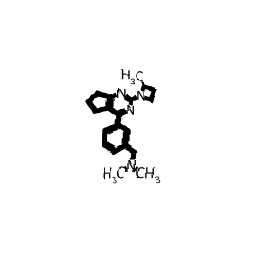 C[C@H]1CCN1c1nc2c(c(-c3cccc(CN(C)C)c3)n1)CCC2